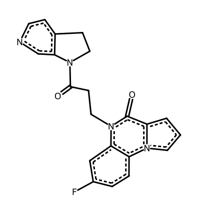 O=C(CCn1c(=O)c2cccn2c2ccc(F)cc21)N1CCc2ccncc21